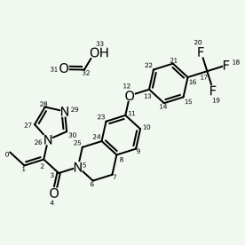 CC=C(C(=O)N1CCc2ccc(Oc3ccc(C(F)(F)F)cc3)cc2C1)n1ccnc1.O=CO